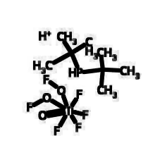 CC(C)(C)PC(C)(C)C.[H+].[O]=[Ti]([F])([F])([F])([F])([O]F)[O]F